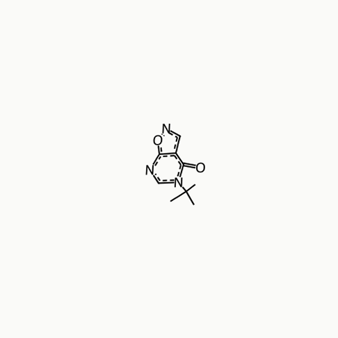 CC(C)(C)n1cnc2oncc2c1=O